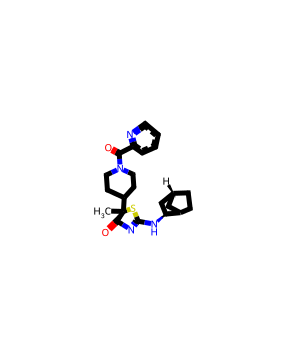 CC1(C2CCN(C(=O)c3ccccn3)CC2)SC(N[C@H]2C[C@@H]3CCC2C3)=NC1=O